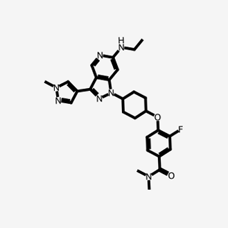 CCNc1cc2c(cn1)c(-c1cnn(C)c1)nn2C1CCC(Oc2ccc(C(=O)N(C)C)cc2F)CC1